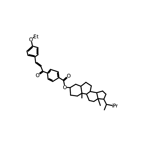 CCOc1ccc(/C=C/C(=O)c2ccc(C(=O)OC3CCC4(C)C(CCC5C4CCC4(C)C(C(C)C(C)C)CCC54)C3)cc2)cc1